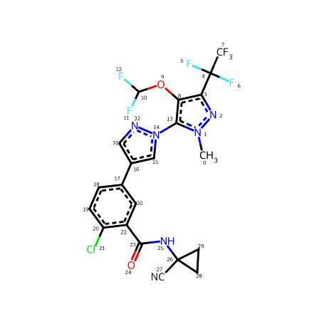 Cn1nc(C(F)(F)C(F)(F)F)c(OC(F)F)c1-n1cc(-c2ccc(Cl)c(C(=O)NC3(C#N)CC3)c2)cn1